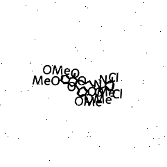 COc1cc(OC)c2c(=O)c(OCCCn3cnc4c(Cl)cc(Cl)cc4c3=O)c(-c3cc(OC)c(OC)c(OC)c3)oc2c1